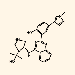 Cn1cc(-c2ccc(O)c(-c3nc(N[C@@H]4CNC[C@H]4C(C)(C)O)c4ccccc4n3)c2)cn1